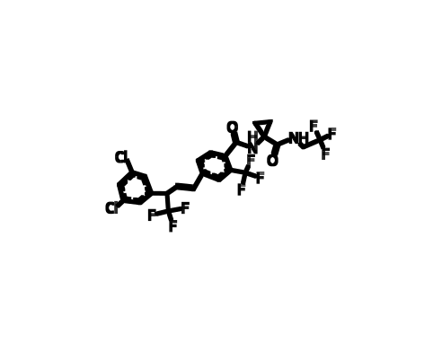 O=C(NC1(C(=O)NCC(F)(F)F)CC1)c1ccc(/C=C/C(c2cc(Cl)cc(Cl)c2)C(F)(F)F)cc1C(F)(F)F